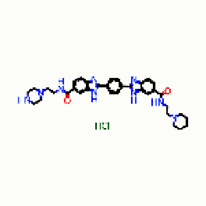 Cl.O=C(NCCN1CCCCC1)c1ccc2nc(-c3ccc(-c4nc5ccc(C(=O)NCCN6CCNCC6)cc5[nH]4)cc3)[nH]c2c1